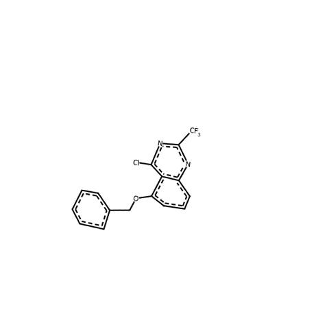 FC(F)(F)c1nc(Cl)c2c(OCc3ccccc3)cccc2n1